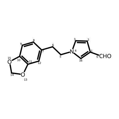 O=Cc1ccn(CCc2ccc3c(c2)OCO3)c1